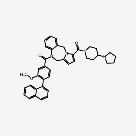 COc1cc(C(=O)N2Cc3ccc(C(=O)N4CCC(N5CCCC5)CC4)n3Cc3ccccc32)ccc1-c1cccc2ccccc12